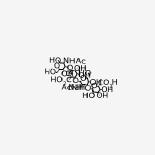 CC(=O)N[C@@H]1[C@@H](O[C@@H]2O[C@H](C(=O)O)[C@@H](O[C@@H]3O[C@H](CO)[C@@H](O)[C@H](O[C@@H]4O[C@H](C(=O)O)[C@@H](O)[C@H](O)[C@H]4O)[C@H]3NC(C)=O)[C@H](O)[C@H]2O)[C@H](O)[C@@H](CO)O[C@H]1O.[NaH]